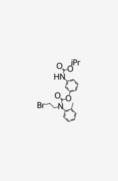 Cc1ccccc1N(CCBr)C(=O)Oc1cccc(NC(=O)OC(C)C)c1